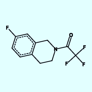 O=C(N1CCc2ccc(F)cc2C1)C(F)(F)F